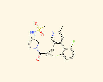 Cc1cc(-c2c(F)cccc2F)c([C@@H]2C[C@H]2C(=O)N2CC[C@@H](NS(C)(=O)=O)C2)cn1